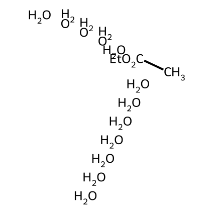 CCOC(C)=O.O.O.O.O.O.O.O.O.O.O.O.O